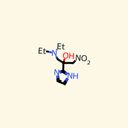 CCN(CC)CC(O)(C[N+](=O)[O-])c1ncc[nH]1